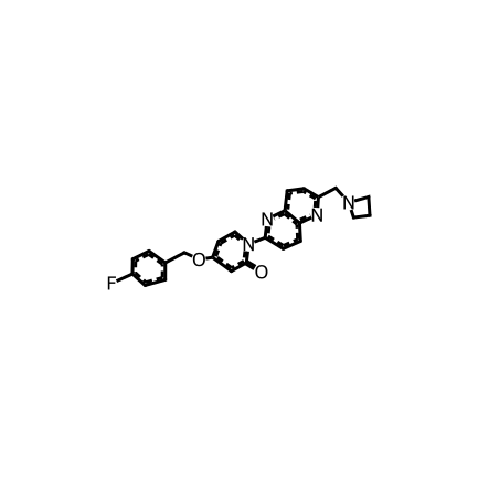 O=c1cc(OCc2ccc(F)cc2)ccn1-c1ccc2nc(CN3CCC3)ccc2n1